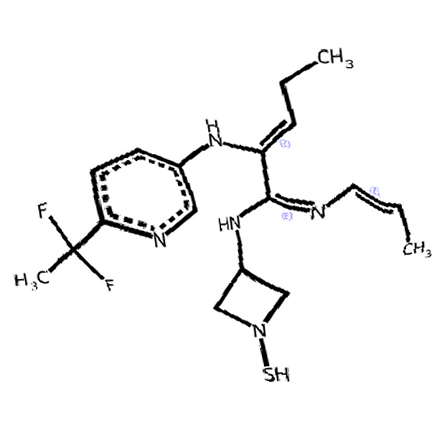 C\C=C/N=C(NC1CN(S)C1)\C(=C\CC)Nc1ccc(C(C)(F)F)nc1